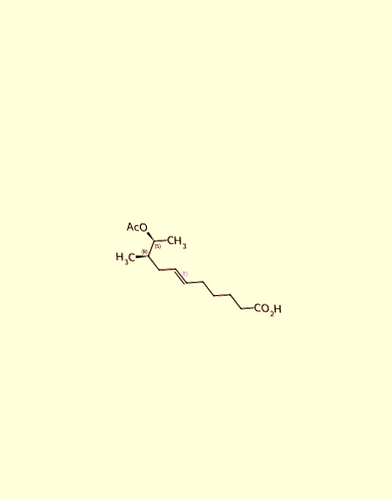 CC(=O)O[C@@H](C)[C@H](C)C/C=C/CCCCC(=O)O